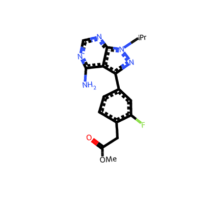 COC(=O)Cc1ccc(-c2nn(C(C)C)c3ncnc(N)c23)cc1F